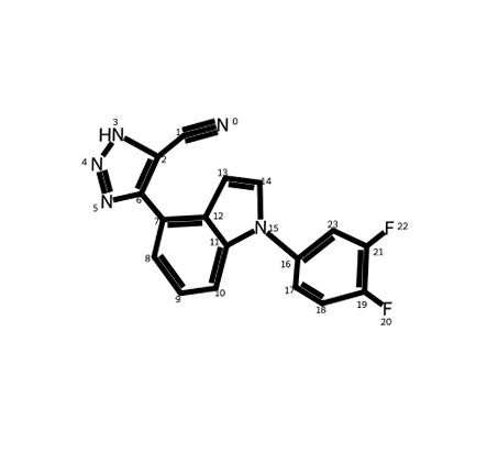 N#Cc1[nH]nnc1-c1cccc2c1ccn2-c1ccc(F)c(F)c1